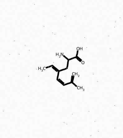 C=C(C)/C=C\C(=C/C)CC(N)C(=O)O